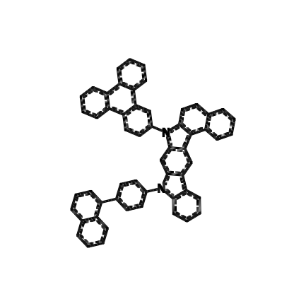 c1ccc2c(-c3ccc(-n4c5ccccc5c5cc6c7c8ccccc8ccc7n(-c7ccc8c9ccccc9c9ccccc9c8c7)c6cc54)cc3)cccc2c1